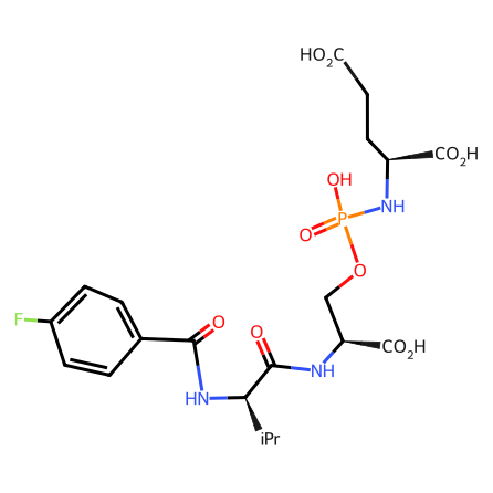 CC(C)[C@@H](NC(=O)c1ccc(F)cc1)C(=O)N[C@@H](COP(=O)(O)N[C@@H](CCC(=O)O)C(=O)O)C(=O)O